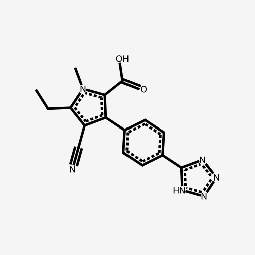 CCc1c(C#N)c(-c2ccc(-c3nnn[nH]3)cc2)c(C(=O)O)n1C